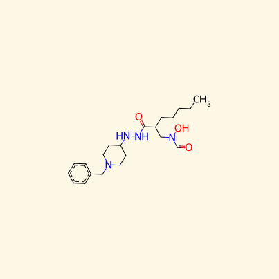 CCCCCC(CN(O)C=O)C(=O)NNC1CCN(Cc2ccccc2)CC1